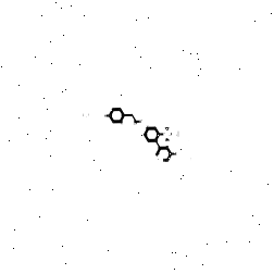 COc1ccc(CC(=O)Nc2ccc(-c3cncc(C(F)(F)F)c3)c(S(N)(=O)=O)c2)c(F)c1